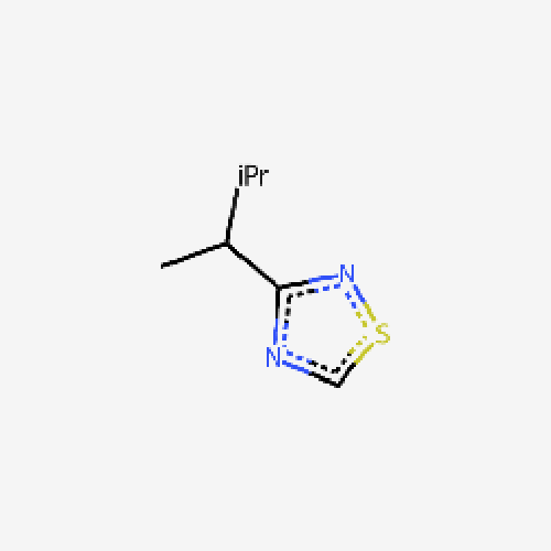 CC(C)C(C)c1ncsn1